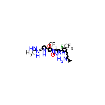 CC(=N)NCC[C@@H]1CCC[C@@H](c2ccc(-n3cc4cc(-c5cc(CCC[C@@H](N)C6CC6)cc(C(F)(F)F)c5F)[nH]c4nc3=O)cc2OC(F)(F)F)N1